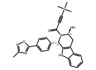 CCCC[C@H]1Cc2c([nH]c3ccccc23)[C@H](c2ccc(-c3nc(C)no3)cc2)N1C(=O)C#C[Si](C)(C)C